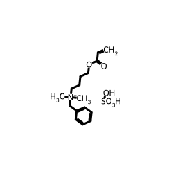 C=CC(=O)OCCCC[N+](C)(C)Cc1ccccc1.O=S(=O)(O)O